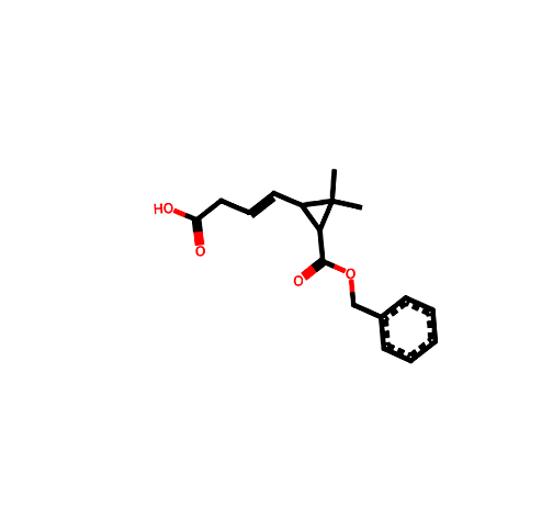 CC1(C)C(C=CCC(=O)O)C1C(=O)OCc1ccccc1